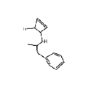 [Li][CH]1C=CC1NC(C)Cc1ccccc1